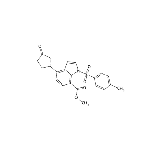 COC(=O)c1ccc(C2CCC(=O)C2)c2ccn(S(=O)(=O)c3ccc(C)cc3)c12